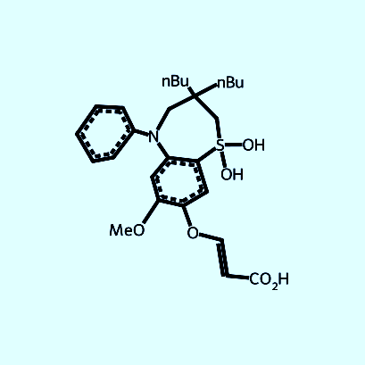 CCCCC1(CCCC)CN(c2ccccc2)c2cc(OC)c(O/C=C/C(=O)O)cc2S(O)(O)C1